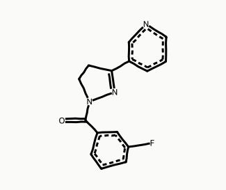 O=C(c1cccc(F)c1)N1CCC(c2cccnc2)=N1